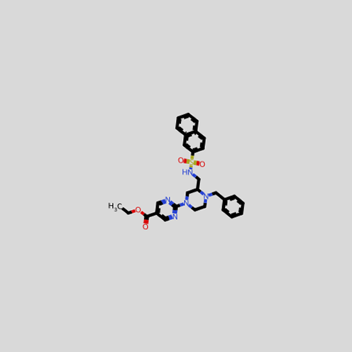 CCOC(=O)c1cnc(N2CCN(Cc3ccccc3)C(CNS(=O)(=O)c3ccc4ccccc4c3)C2)nc1